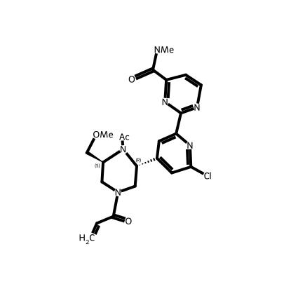 C=CC(=O)N1C[C@@H](COC)N(C(C)=O)[C@H](c2cc(Cl)nc(-c3nccc(C(=O)NC)n3)c2)C1